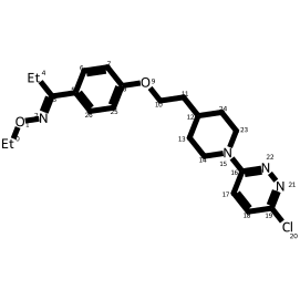 CCON=C(CC)c1ccc(OCCC2CCN(c3ccc(Cl)nn3)CC2)cc1